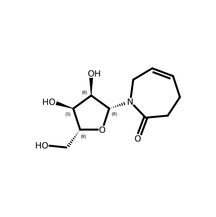 O=C1CCC=CCN1[C@@H]1O[C@H](CO)[C@@H](O)[C@H]1O